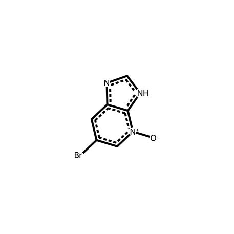 [O-][n+]1cc(Br)cc2nc[nH]c21